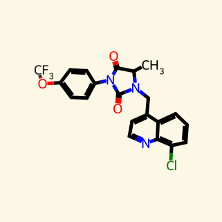 CC1C(=O)N(c2ccc(OC(F)(F)F)cc2)C(=O)N1Cc1ccnc2c(Cl)cccc12